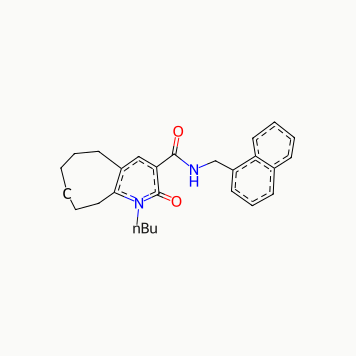 CCCCn1c2c(cc(C(=O)NCc3cccc4ccccc34)c1=O)CCCCCC2